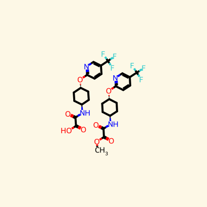 COC(=O)C(=O)N[C@H]1CC[C@H](Oc2ccc(C(F)(F)F)cn2)CC1.O=C(O)C(=O)N[C@H]1CC[C@H](Oc2ccc(C(F)(F)F)cn2)CC1